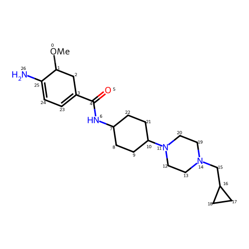 COC1CC(C(=O)NC2CCC(N3CCN(CC4CC4)CC3)CC2)=CC=C1N